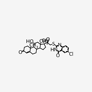 CC12CCC(=O)C=C1CCC1C2[C@@H](O)CC2(C)C1CC[C@]2(O)C(=O)CSc1nc2ccc(Cl)cc2c(=O)[nH]1